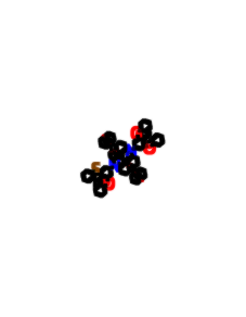 c1ccc(-c2ccc3c(c2)[Si]2(c4cc(-c5ccccc5)ccc4N3c3cc4c5c(c3)Oc3ccccc3B5c3ccccc3O4)c3cc(-c4ccccc4)ccc3N(c3cc4c5c(c3)Sc3ccccc3B5c3ccccc3O4)c3ccc(-c4ccccc4)cc32)cc1